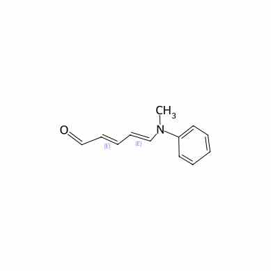 CN(/C=C/C=C/C=O)c1ccccc1